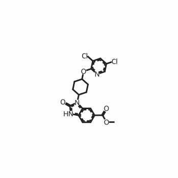 COC(=O)c1ccc2[nH]c(=O)n(C3CCC(Oc4ncc(Cl)cc4Cl)CC3)c2c1